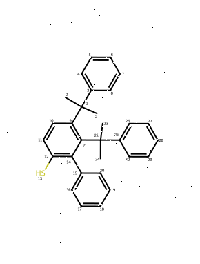 CC(C)(c1ccccc1)c1ccc(S)c(-c2ccccc2)c1C(C)(C)c1ccccc1